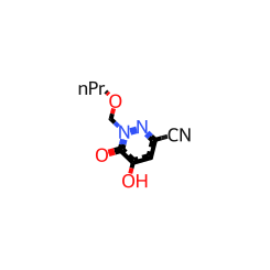 CCCOCn1nc(C#N)cc(O)c1=O